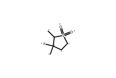 CC1C(C)(F)CCS1(=O)=O